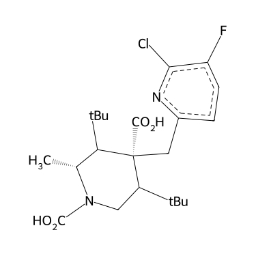 C[C@@H]1C(C(C)(C)C)[C@](Cc2ccc(F)c(Cl)n2)(C(=O)O)C(C(C)(C)C)CN1C(=O)O